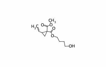 C=CC1CC1(C(=O)OC)C(=O)OCCCCO